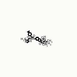 CNC(=O)C1(N2C[C@@H](C(C)C)NC2=O)Cc2ccc(NC(=O)C(NC(=O)c3ccnn3C)C3CCC4(CC3)CC4)cc2C1